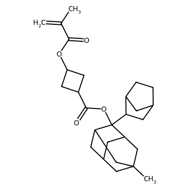 C=C(C)C(=O)OC1CC(C(=O)OC2(C3CC4CCC3C4)C3CC4CC2CC(C)(C4)C3)C1